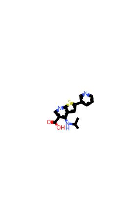 CC(C)Nc1c(C(=O)O)cnc2sc(-c3cccnc3)cc12